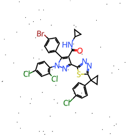 O=C(NC1CC1)c1c(-c2nnc(C3(c4ccc(Cl)cc4)CC3)s2)nn(-c2ccc(Cl)cc2Cl)c1-c1ccc(Br)cc1